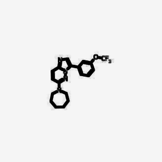 FC(F)(F)Oc1cccc(-c2cnc3ccc(N4CCCCCC4)nn23)c1